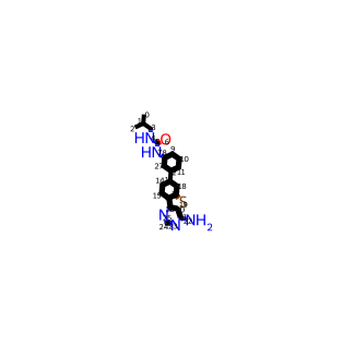 CC(C)CNC(=O)Nc1cccc(-c2ccc3c(c2)sc2c(N)ncnc23)c1